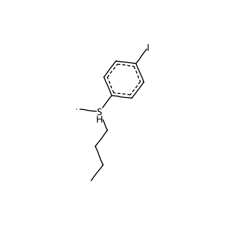 [CH2][SH](CCCC)c1ccc(I)cc1